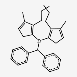 CCCC1=[C]([Zr]([C]2=C(CCC)C(C)=CC2)[CH](c2ccccc2)c2ccccc2)CC=C1C